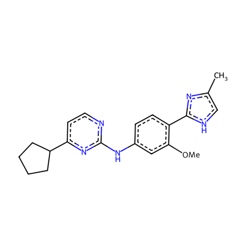 COc1cc(Nc2nccc(C3CCCC3)n2)ccc1-c1nc(C)c[nH]1